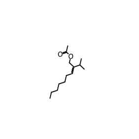 CCCCCCC=C(COC(C)=O)C(C)C